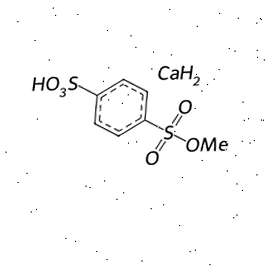 COS(=O)(=O)c1ccc(S(=O)(=O)O)cc1.[CaH2]